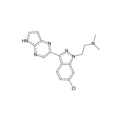 CN(C)CCn1nc(-c2cnc3[nH]ccc3n2)c2ccc(Cl)cc21